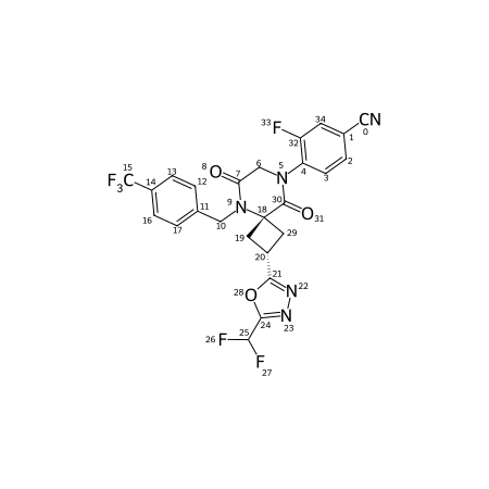 N#Cc1ccc(N2CC(=O)N(Cc3ccc(C(F)(F)F)cc3)[C@]3(C[C@@H](c4nnc(C(F)F)o4)C3)C2=O)c(F)c1